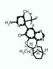 Cc1cc(N)nc(-c2c(Cl)c3c4c(ncnc4c2F)N2C[C@H]4CC[C@H](N4)[C@H]2[C@H](C)O3)c1C(F)(F)F